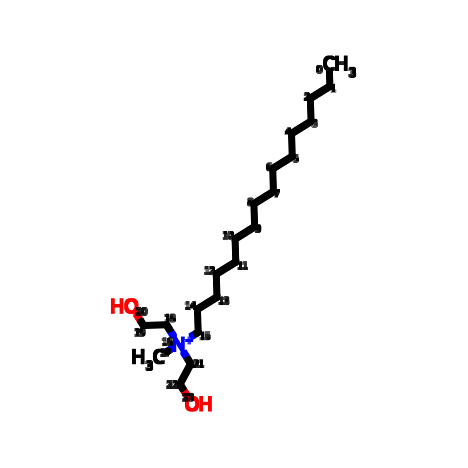 CCCCCCCCCCCCCCCC[N+](C)(CCO)CCO